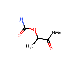 CNC(=O)C(C)OC(N)=O